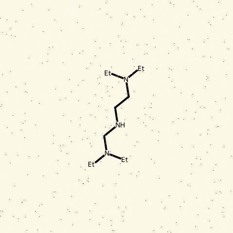 CCN(CC)CCNCN(CC)CC